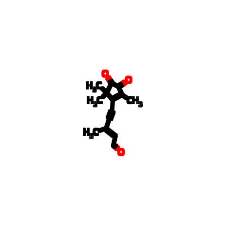 CC(C#CC1=C(C)C(=O)C(=O)C1(C)C)=CC=O